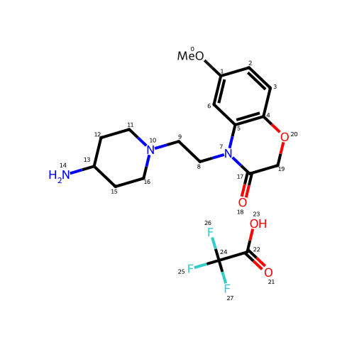 COc1ccc2c(c1)N(CCN1CCC(N)CC1)C(=O)CO2.O=C(O)C(F)(F)F